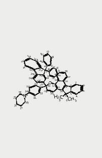 CC1(C)c2ccccc2-c2c1c1c(c3ccccc23)OC(c2ccc(N3CCCCC3)cc2)(c2ccc3c(c2)C(c2ccccc2)(c2ccccc2)c2ccccc2-3)C=C1